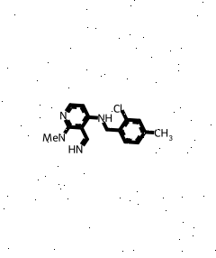 CNc1nccc(NCc2ccc(C)cc2Cl)c1C=N